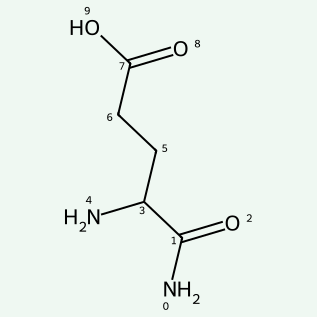 NC(=O)C(N)CCC(=O)O